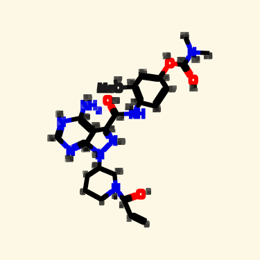 C=CC(=O)N1CCCC(n2nc(C(=O)Nc3ccc(OC(=O)N(C)C)cc3OC)c3c(N)ncnc32)C1